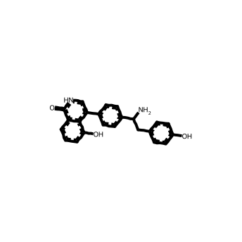 NC(Cc1ccc(O)cc1)c1ccc(-c2c[nH]c(=O)c3cccc(O)c23)cc1